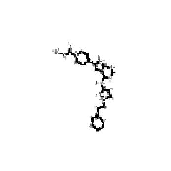 CC(C)(C)OC(=O)N1CC=C(c2cc3c(Nc4ccn(CCc5ccccc5)n4)ncnc3[nH]2)CC1